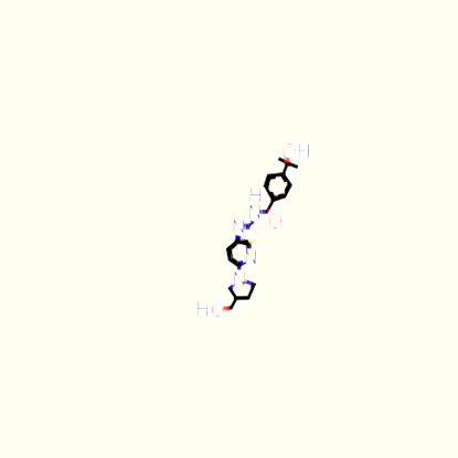 CC(C)(O)c1ccc(C(=O)Nc2nc3ccc(N4CCC(CO)C4)nc3s2)cc1